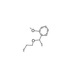 COc1ccccc1C(I)OCCI